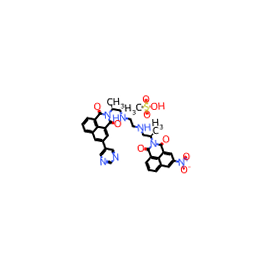 CS(=O)(=O)O.C[C@H](CNCCNC[C@@H](C)N1C(=O)c2cccc3cc([N+](=O)[O-])cc(c23)C1=O)N1C(=O)c2cccc3cc(-c4cncnc4)cc(c23)C1=O